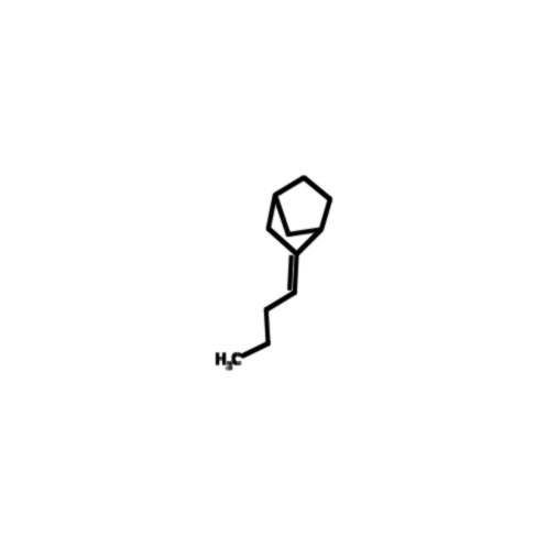 CCCC=C1CC2CCC1C2